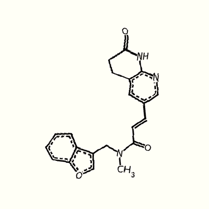 CN(Cc1coc2ccccc12)C(=O)C=Cc1cnc2c(c1)CCC(=O)N2